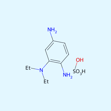 CCN(CC)c1cc(N)ccc1N.O=S(=O)(O)O